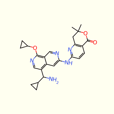 CC1(C)Cc2nc(Nc3cc4c(C(N)C5CC5)cnc(OC5CC5)c4cn3)ccc2C(=O)O1